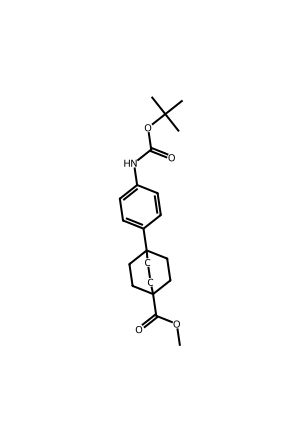 COC(=O)C12CCC(c3ccc(NC(=O)OC(C)(C)C)cc3)(CC1)CC2